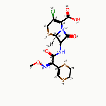 CO/N=C(\C(=O)NC1C(=O)N2C(C(=O)O)=C(Cl)CS[C@H]12)C1=CSCCS1